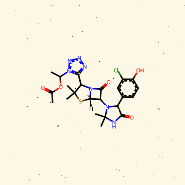 CC(=O)OC(C)n1nnnc1C1N2C(=O)C(N3C(c4ccc(O)c(Cl)c4)C(=O)NC3(C)C)[C@@H]2SC1(C)C